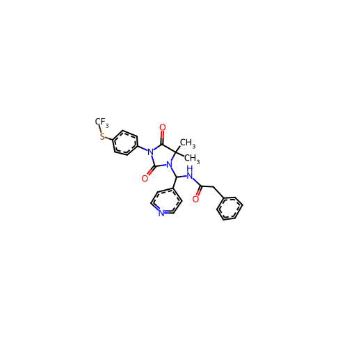 CC1(C)C(=O)N(c2ccc(SC(F)(F)F)cc2)C(=O)N1C(NC(=O)Cc1ccccc1)c1ccncc1